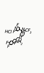 Cl.NC(CC(=O)N1CCn2c(C(F)(F)F)nc(-c3cc(F)nc(F)c3)c2C1)Cc1cc(F)c(F)cc1F